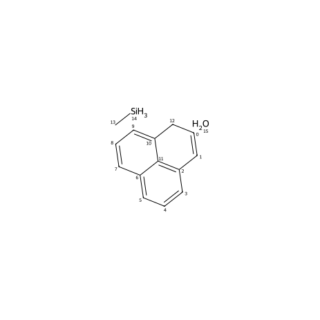 C1=Cc2cccc3cccc(c23)C1.C[SiH3].O